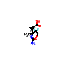 CC1([C@H]2C[C@@H]2C(=O)O)N=C(N)OCC1(F)F